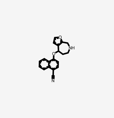 N#Cc1ccc(OC2CCNCc3occc32)c2ccccc12